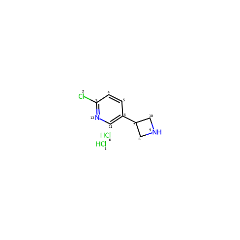 Cl.Cl.Clc1ccc(C2CNC2)cn1